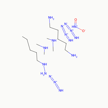 CCCCCNN.CNC.CNC.NCCCCCN.O=[NH+][O-].[N-]=[N+]=N.[N-]=[N+]=N.[N-]=[N+]=N